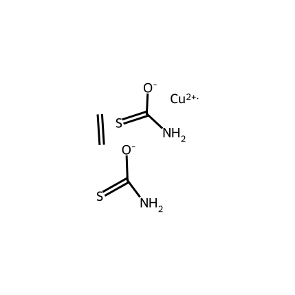 C=C.NC([O-])=S.NC([O-])=S.[Cu+2]